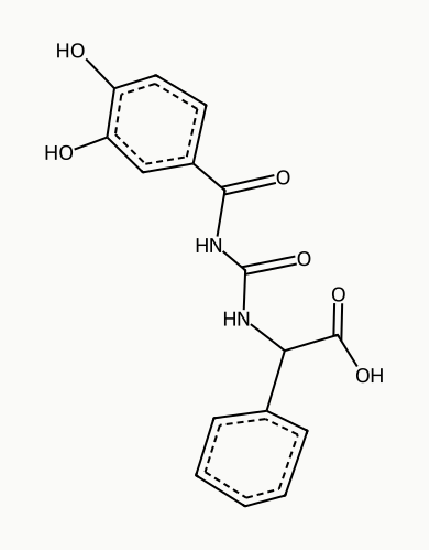 O=C(NC(=O)c1ccc(O)c(O)c1)NC(C(=O)O)c1ccccc1